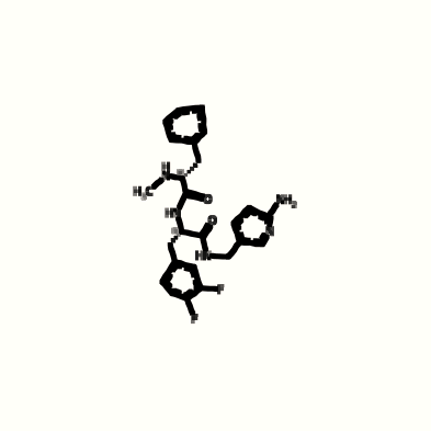 CN[C@H](Cc1ccccc1)C(=O)N[C@@H](Cc1ccc(F)c(F)c1)C(=O)NCc1ccc(N)nc1